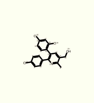 Cc1nc(-c2ccc(Cl)cc2)c(-c2ccc(Cl)cc2Cl)cc1CO